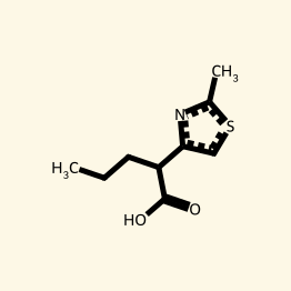 CCCC(C(=O)O)c1csc(C)n1